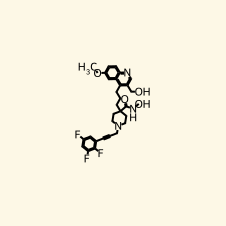 COc1ccc2ncc(CO)c(CCCC3(C(=O)NO)CCN(CC#Cc4cc(F)cc(F)c4F)CC3)c2c1